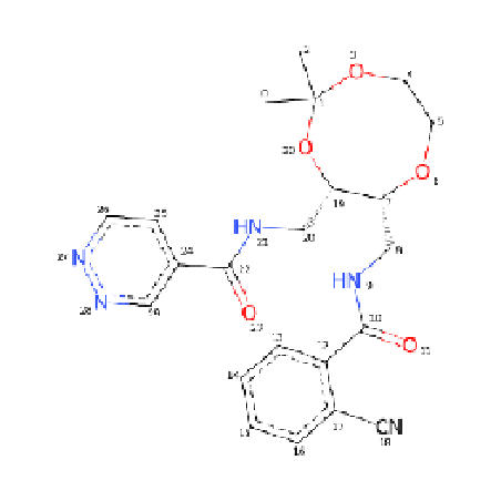 CC1(C)OCCO[C@H](CNC(=O)c2ccccc2C#N)[C@H](CNC(=O)c2ccnnc2)O1